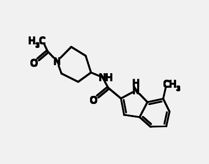 CC(=O)N1CCC(NC(=O)c2cc3cccc(C)c3[nH]2)CC1